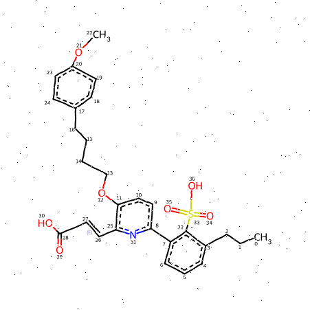 CC[CH]c1cccc(-c2ccc(OCCCCc3ccc(OC)cc3)c(/C=C/C(=O)O)n2)c1S(=O)(=O)O